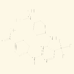 CN(C)C1CCC(Nc2nc(Nc3ccc(C(=O)O)cc3)ncc2C(F)(F)F)CC1